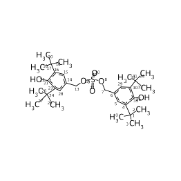 CC(C)(C)c1cc(COS(=O)(=O)OCc2cc(C(C)(C)C)c(O)c(C(C)(C)C)c2)cc(C(C)(C)C)c1O